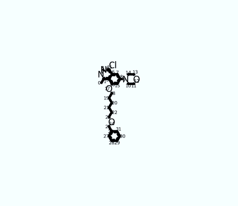 Cc1nnc(Cl)c2cc(N3CCOCC3)cc(OCCCCCCOCc3ccccc3)c12